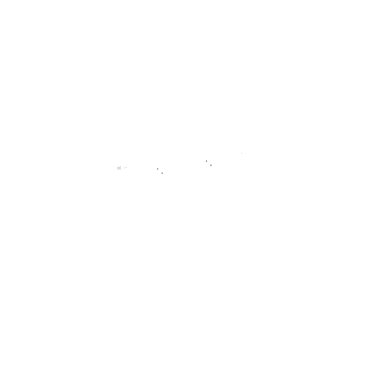 CCCCn1cc[n+](CCCC)c1.[I-]